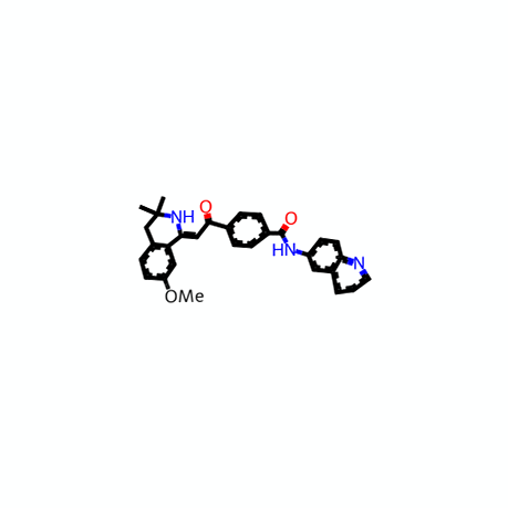 COc1ccc2c(c1)/C(=C/C(=O)c1ccc(C(=O)Nc3ccc4ncccc4c3)cc1)NC(C)(C)C2